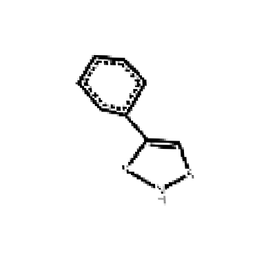 C1=C(c2ccccc2)SNS1